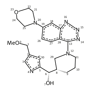 COCc1cnc([C@@H](O)[C@H]2CCCN(c3nnnc4cc(N5CCOCC5)ccc34)C2)s1